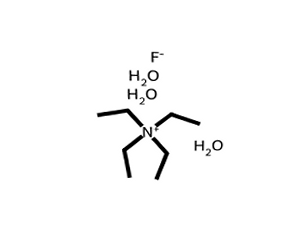 CC[N+](CC)(CC)CC.O.O.O.[F-]